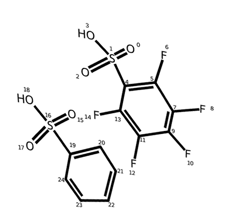 O=S(=O)(O)c1c(F)c(F)c(F)c(F)c1F.O=S(=O)(O)c1ccccc1